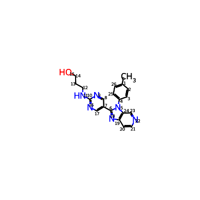 Cc1ccc(-n2c(-c3cnc(NCCCO)nc3)nc3ccncc32)cc1